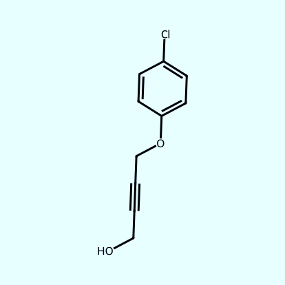 OCC#CCOc1ccc(Cl)cc1